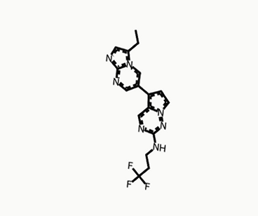 CCc1cnc2ncc(-c3ccn4nc(NCCC(F)(F)F)ncc34)cn12